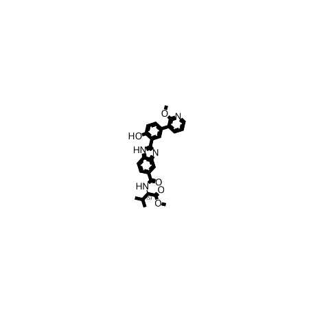 COC(=O)[C@@H](NC(=O)c1ccc2[nH]c(-c3cc(-c4cccnc4OC)ccc3O)nc2c1)C(C)C